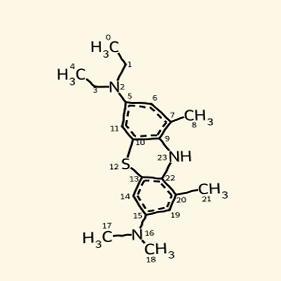 CCN(CC)c1cc(C)c2c(c1)Sc1cc(N(C)C)cc(C)c1N2